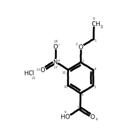 CCOc1ccc(C(=O)O)cc1[N+](=O)[O-].Cl